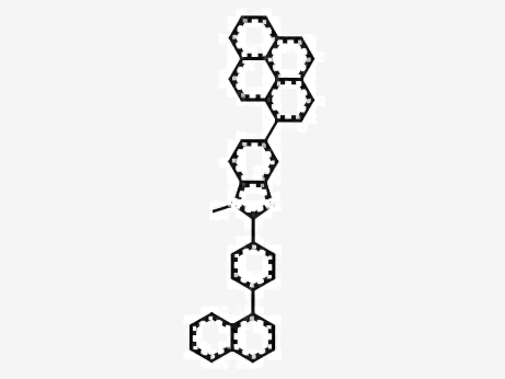 Cn1c(-c2ccc(-c3cccc4ccccc34)cc2)nc2cc(-c3ccc4ccc5cccc6ccc3c4c56)ccc21